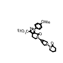 CCOC(=O)c1nn(-c2ccc(OC)cc2)c2c1CCN(C1C3CN(N4CCCCC4=O)CC31)C2=O